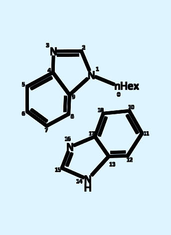 CCCCCCn1cnc2ccccc21.c1ccc2[nH]cnc2c1